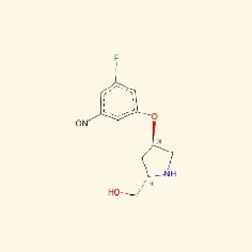 O=Nc1cc(F)cc(O[C@H]2CN[C@H](CO)C2)c1